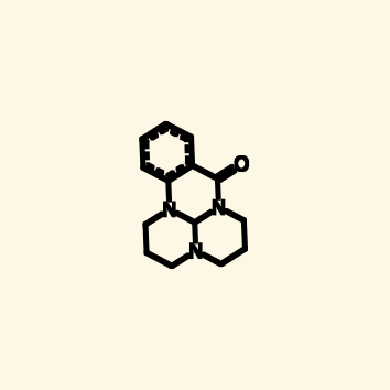 O=C1c2ccccc2N2CCCN3CCCN1C32